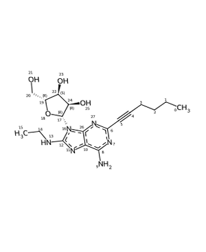 CCCCC#Cc1nc(N)c2nc(NCC)n([C@@H]3O[C@H](CO)[C@@H](O)[C@H]3O)c2n1